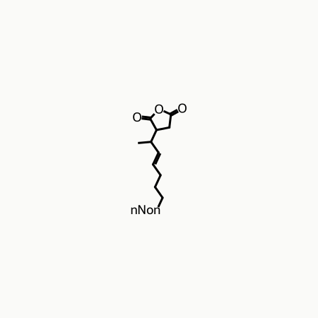 CCCCCCCCCCCCC=CC(C)C1CC(=O)OC1=O